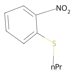 CCCSc1ccccc1[N+](=O)[O-]